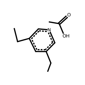 CC(=O)O.CCc1cncc(CC)c1